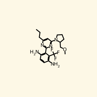 CCCc1cc(N2CCCC2COC)nc(-c2c(N)ccc(N)c2C(F)(F)F)n1